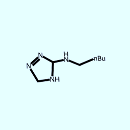 CCCCCNC1N=NCN1